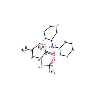 C1CCC(NC2CCCCC2)CC1.CC(=O)SC(CC(C)C)C(=O)O